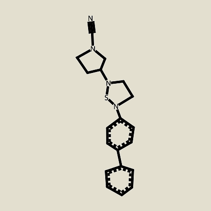 N#CN1CCC(N2CCN(c3ccc(-c4ccccc4)cc3)S2)C1